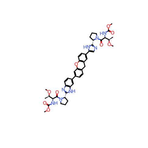 COC(=O)N[C@H](C(=O)N1CCC[C@H]1c1ncc(-c2ccc3c(c2)Cc2ccc(-c4ccc5nc([C@@H]6CCCN6C(=O)[C@@H](NC(=O)OC)[C@@H](C)OC)[nH]c5c4)cc2O3)[nH]1)[C@@H](C)OC